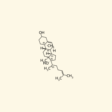 CC(C)=CCC[C@@H](C)[C@]1(O)CC[C@H]2[C@@H]3CC=C4CC(O)CC[C@]4(C)[C@H]3CC[C@@]21C